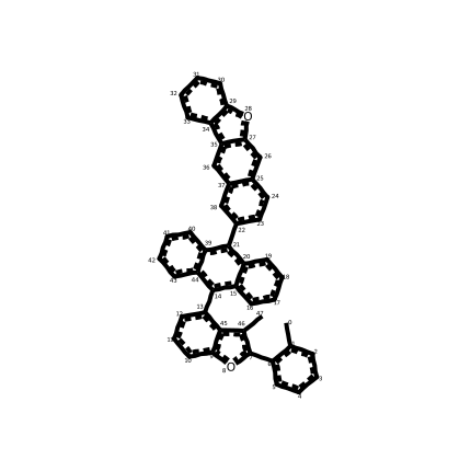 Cc1ccccc1-c1oc2cccc(-c3c4ccccc4c(-c4ccc5cc6oc7ccccc7c6cc5c4)c4ccccc34)c2c1C